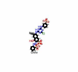 COc1ccc(N=Nc2c(S(=O)(=O)[O-])cc3cc(Nc4nc(Cl)nc(Nc5cccc(S(=O)(=O)[O-])c5)n4)ccc3c2O)c(S(=O)(=O)[O-])c1.[Na+].[Na+].[Na+]